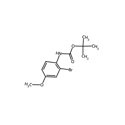 COc1ccc(NC(=O)OC(C)(C)C)c(Br)c1